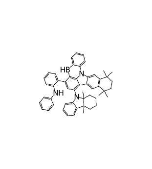 CC1(C)CCC(C)(C)c2cc3c(cc21)c1c(N2c4ccccc4C4(C)CCCCC24C)cc(-c2ccccc2Nc2ccccc2)c2c1n3-c1ccccc1B2